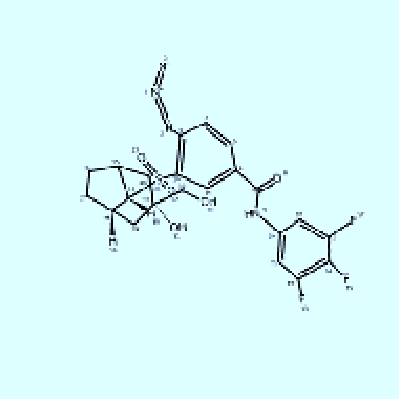 [N-]=[N+]=Nc1ccc(C(=O)Nc2cc(F)c(F)c(F)c2)cc1S(=O)(=O)[C@H]1C2CC[C@H]1C[C@](O)(CO)C2